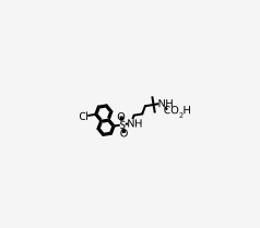 CC(C)(CCCNS(=O)(=O)c1cccc2c(Cl)cccc12)NC(=O)O